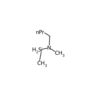 CCCCN(C)[SiH2]C